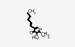 CCCCCCC1=CN=C(C)C(O)C1=O